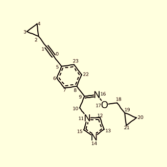 C(#CC1CC1)c1ccc(C(Cn2ccnc2)=NOCC2CC2)cc1